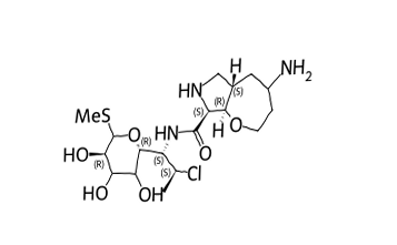 CSC1O[C@H]([C@H](NC(=O)[C@H]2NC[C@@H]3CC(N)CCO[C@H]32)[C@H](C)Cl)C(O)C(O)[C@H]1O